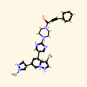 Cn1cc(-c2cc(-c3cnc(N4CCN(C(=O)C#Cc5ccccc5)CC4)nc3)c3c(C#N)cnn3c2)cn1